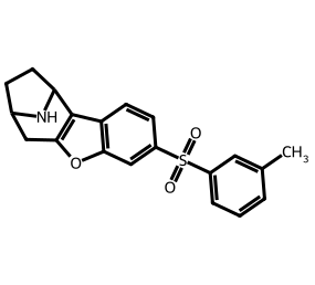 Cc1cccc(S(=O)(=O)c2ccc3c4c(oc3c2)CC2CCC4N2)c1